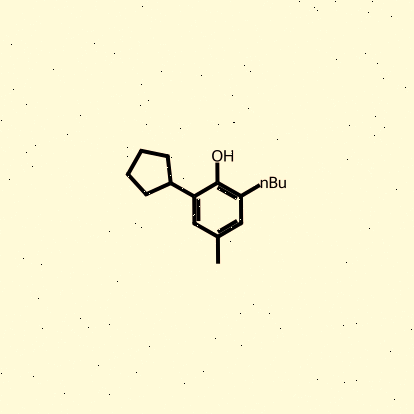 CCCCc1cc(C)cc(C2CCCC2)c1O